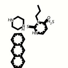 C1CNCCN1.CCCn1c(=O)cc[nH]c1=S.S.c1ccc2cc3ccccc3cc2c1